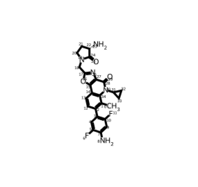 Cc1c(-c2cc(F)c(N)cc2F)ccc2c3oc(CN4CC[C@H](N)C4=O)nc3c(=O)n(C3CC3)c12